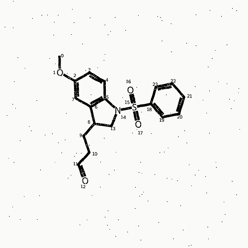 COc1ccc2c(c1)C(CCC=O)CN2S(=O)(=O)c1ccccc1